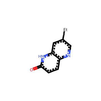 CCc1cnc2ccc(=O)[nH]c2c1